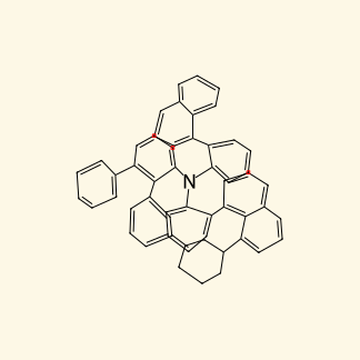 c1ccc(-c2cccc(N(c3ccccc3-c3cccc4ccccc34)c3ccccc3-c3cccc4cccc(C5CCCCC5)c34)c2-c2ccccc2)cc1